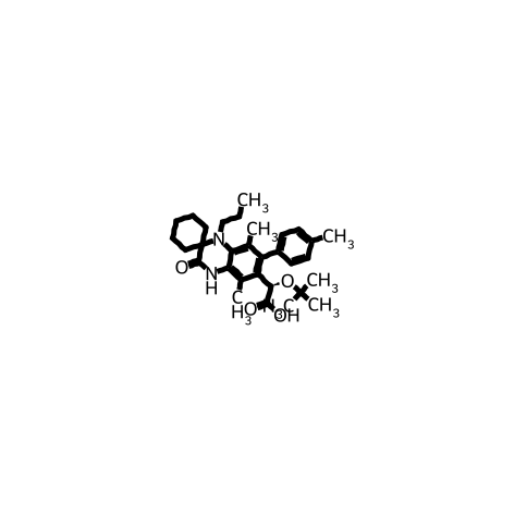 CCCN1c2c(C)c(-c3ccc(C)cc3)c([C@H](OC(C)(C)C)C(=O)O)c(C)c2NC(=O)C12CCCCC2